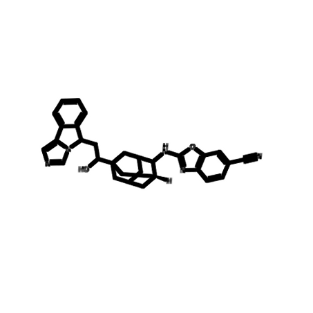 N#Cc1ccc2nc(NC3C4CC5C[C@@H]3CC(C(O)CC3c6ccccc6-c6cncn63)(C5)C4)oc2c1